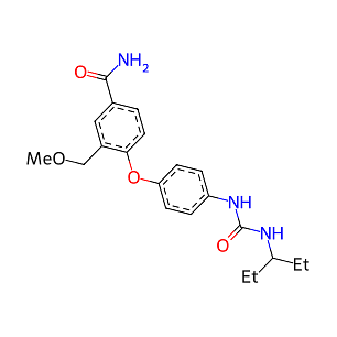 CCC(CC)NC(=O)Nc1ccc(Oc2ccc(C(N)=O)cc2COC)cc1